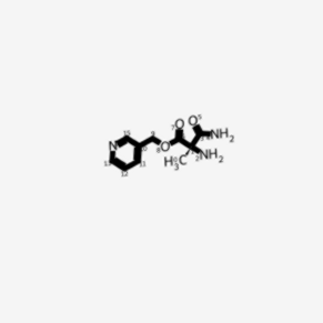 C[C@@](N)(C(N)=O)C(=O)OCc1cccnc1